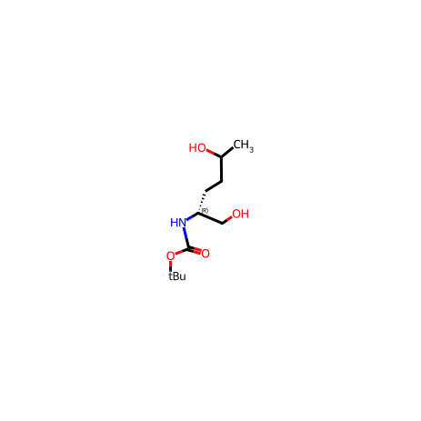 CC(O)CC[C@H](CO)NC(=O)OC(C)(C)C